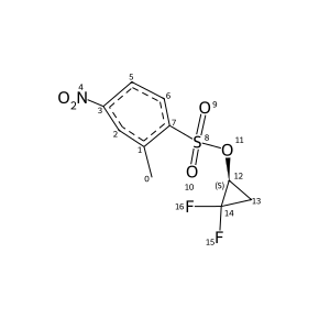 Cc1cc([N+](=O)[O-])ccc1S(=O)(=O)O[C@H]1CC1(F)F